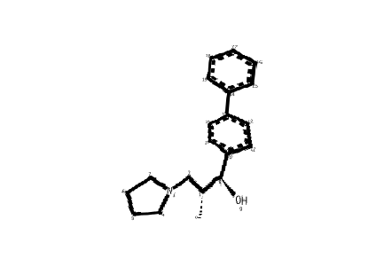 C[C@H](CN1CCCC1)[C@H](O)c1ccc(-c2ccccc2)cc1